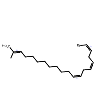 CC/C=C\C/C=C\C/C=C\CCCCCCCC/C=C(\C)C(=O)O